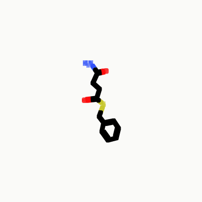 NC(=O)CCC(=O)SCc1ccccc1